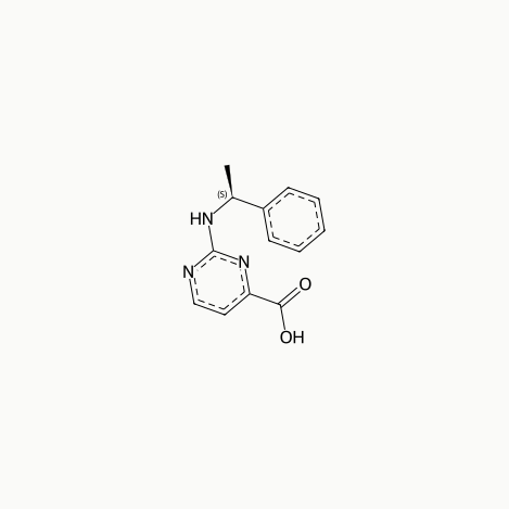 C[C@H](Nc1nccc(C(=O)O)n1)c1ccccc1